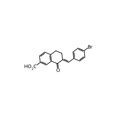 O=C(O)c1ccc2c(c1)C(=O)/C(=C/c1ccc(Br)cc1)CC2